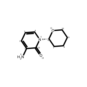 Nc1cccn([C@H]2CCCCO2)c1=O